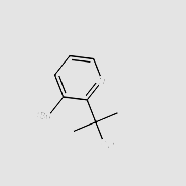 CC(C)(C)c1cccnc1C(C)(C)O